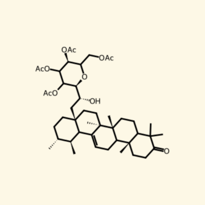 CC(=O)OCC1O[C@@H]([C@H](O)C[C@]23CC[C@@H](C)[C@H](C)C2C2=CCC4[C@@]5(C)CCC(=O)C(C)(C)C5CC[C@@]4(C)[C@]2(C)CC3)C(OC(C)=O)C(OC(C)=O)[C@H]1OC(C)=O